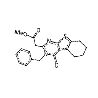 COC(=O)Cc1nc2sc3c(c2c(=O)n1Cc1ccccc1)CCCC3